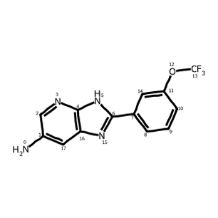 Nc1cnc2[nH]c(-c3cccc(OC(F)(F)F)c3)nc2c1